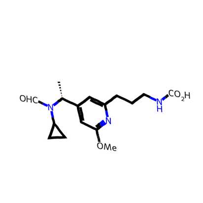 COc1cc([C@@H](C)N(C=O)C2CC2)cc(CCCNC(=O)O)n1